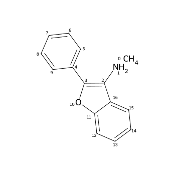 C.Nc1c(-c2ccccc2)oc2ccccc12